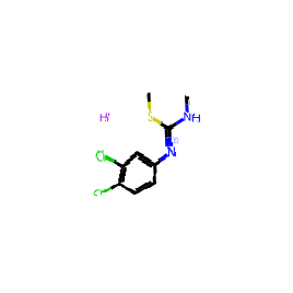 CN/C(=N/c1ccc(Cl)c(Cl)c1)SC.I